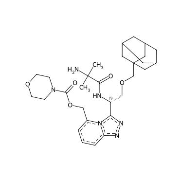 CC(C)(N)C(=O)N[C@H](COCC12CC3CC(CC(C3)C1)C2)c1nnc2cccc(COC(=O)N3CCOCC3)n12